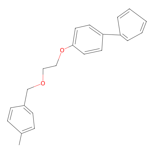 Cc1ccc(COCCOc2ccc(-c3ccccc3)cc2)cc1